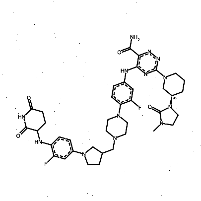 CN1CCN([C@@H]2CCCN(c3nnc(C(N)=O)c(Nc4ccc(N5CCN(CC6CCN(c7ccc(NC8CCC(=O)NC8=O)c(F)c7)C6)CC5)c(F)c4)n3)C2)C1=O